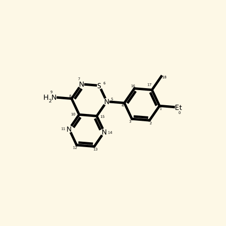 CCc1ccc(N2SN=C(N)c3nccnc32)cc1C